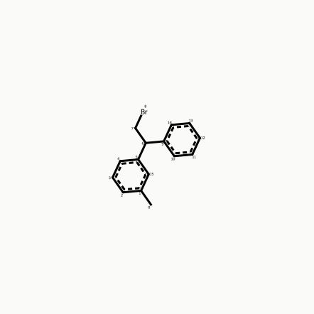 Cc1cccc(C(CBr)c2ccccc2)c1